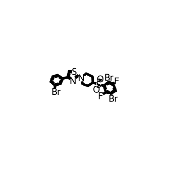 O=S(=O)(c1c(F)c(Br)cc(F)c1Br)C1CCN(c2nc(-c3cccc(Br)c3)cs2)CC1